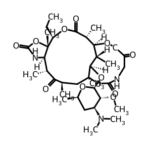 CC[C@H]1OC(=O)[C@H](C)[C@H]2OCC(=O)CNC(=O)O[C@](C)(C[C@@H](C)C(=O)[C@H](C)[C@H]3NC(=O)O[C@@]31C)[C@H](O[C@@H]1O[C@H](C)C[C@H](N(C)C)[C@H]1OC)[C@H]2C